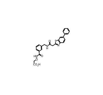 O=C(O)CONC(=O)c1cccc(CNC(=O)Cc2nc3ccc(-c4ccccc4)cc3s2)c1